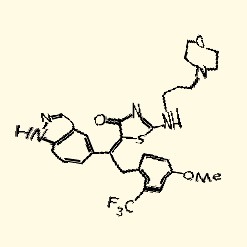 COc1ccc(CC(=C2SC(NCCN3CCOCC3)=NC2=O)c2ccc3[nH]ncc3c2)c(C(F)(F)F)c1